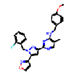 COc1c#cc(CNc2nc(-c3cc(-c4ccon4)n(Cc4ccccc4F)n3)ncc2C)cc1